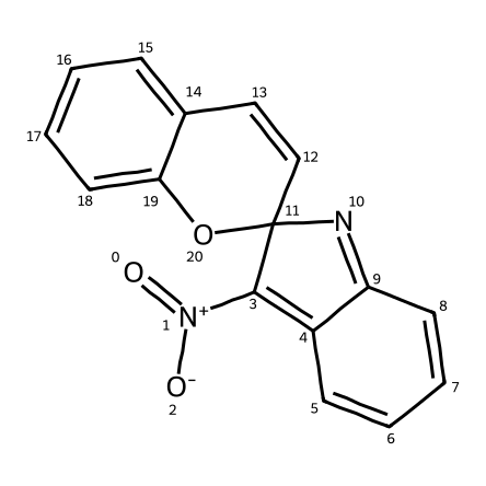 O=[N+]([O-])C1=c2ccccc2=NC12C=Cc1ccccc1O2